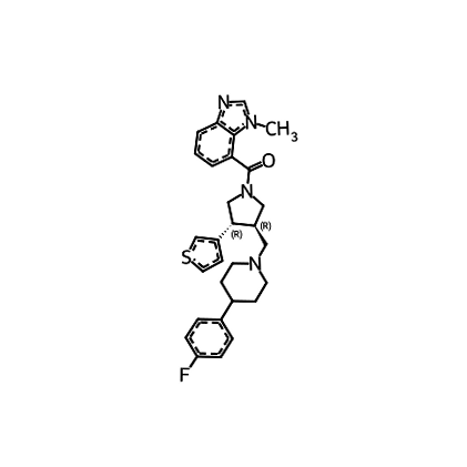 Cn1cnc2cccc(C(=O)N3C[C@@H](CN4CCC(c5ccc(F)cc5)CC4)[C@H](c4ccsc4)C3)c21